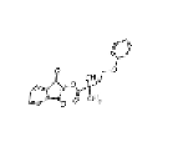 CC(C)(CCOc1ccccc1)C(=O)ON1C(=O)c2ccccc2C1=O